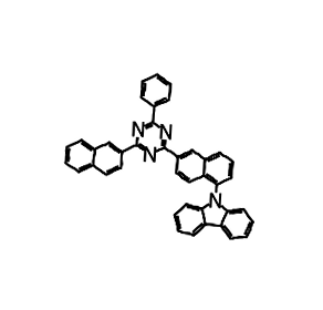 c1ccc(-c2nc(-c3ccc4ccccc4c3)nc(-c3ccc4c(-n5c6ccccc6c6ccccc65)cccc4c3)n2)cc1